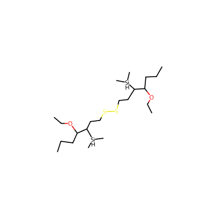 CCCC(OCC)C(CCSSCCC(C(CCC)OCC)[SiH](C)C)[SiH](C)C